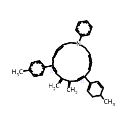 C=C1/C=C(/C2=CCC(C)C=C2)C=C=CCN(c2ccccc2)CC=C=C/C(c2ccc(C)cc2)=C\C1=C